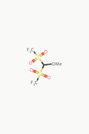 COC(S(=O)(=O)C(F)(F)F)S(=O)(=O)C(F)(F)F